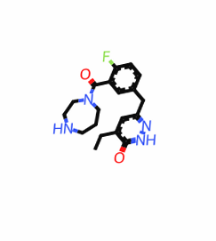 CCc1cc(Cc2ccc(F)c(C(=O)N3CCCNCC3)c2)n[nH]c1=O